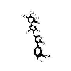 C=C1NC(=O)N(c2cc(Cl)c(Oc3cc(-c4ccc(C)c(C)c4)c(=O)[nH]n3)c(Cl)c2)N=C1N